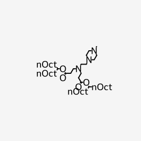 CCCCCCCCC(CCCCCCCC)OC(=O)CCN(CCC(=O)OC(CCCCCCCC)CCCCCCCC)CCN1CCN(C)CC1